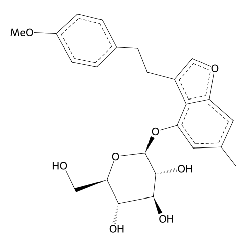 COc1ccc(CCc2coc3cc(C)cc(O[C@@H]4O[C@H](CO)[C@@H](O)[C@H](O)[C@H]4O)c23)cc1